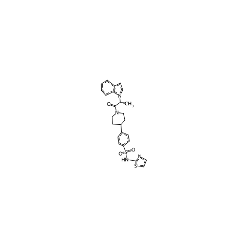 C[C@@H](C(=O)N1CCC(c2ccc(S(=O)(=O)Nc3nccs3)cc2)CC1)n1ccc2ccccc21